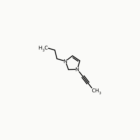 CC#CN1C=CN(CCC)C1